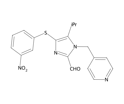 CC(C)c1c(Sc2cccc([N+](=O)[O-])c2)nc(C=O)n1Cc1ccncc1